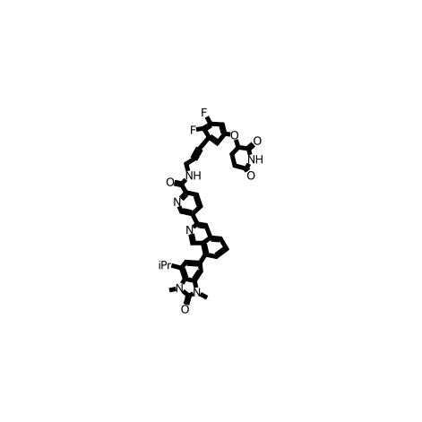 CC(C)c1cc(-c2cccc3cc(-c4ccc(C(=O)NCC#Cc5cc(OC6CCC(=O)NC6=O)cc(F)c5F)nc4)ncc23)cc2c1n(C)c(=O)n2C